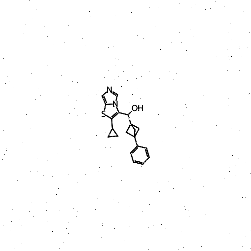 OC(c1c(C2CC2)sc2cncn12)C12CC(c3ccccc3)(C1)C2